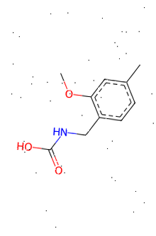 COc1cc(C)ccc1CNC(=O)O